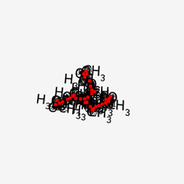 CCC(COC(=O)NC1CC(C)(C)CC(C)(CNC(=O)OCCOc2cc(OC)c(C=O)cc2OC)C1)(COC(=O)NC1CC(C)(C)CC(C)(CNC(=O)OCCOc2c(OC)cc(C=O)cc2OC)C1)COC(=O)NC1CC(C)(C)CC(C)(CNC(=O)OCCOc2c(OC)cc(C=O)cc2OC)C1